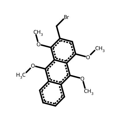 COc1cc(CBr)c(OC)c2c(OC)c3ccccc3c(OC)c12